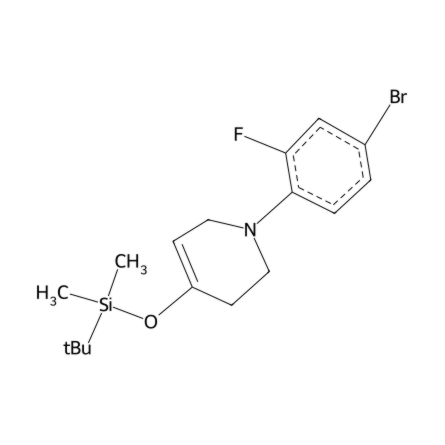 CC(C)(C)[Si](C)(C)OC1=CCN(c2ccc(Br)cc2F)CC1